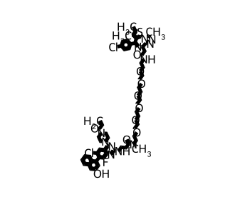 C=CC(=O)N1CCN(c2nc(NCCC(=O)N(C)CCOCCOCCOCCOCCOCCOCCNC(=O)CC3N=C(c4ccc(Cl)cc4)c4c(sc(C)c4C)-n4c(C)nnc43)nc3c(F)c(-c4cc(O)cc5ccccc45)c(Cl)cc23)CC1